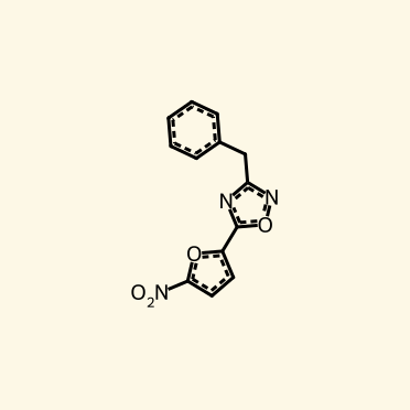 O=[N+]([O-])c1ccc(-c2nc(Cc3ccccc3)no2)o1